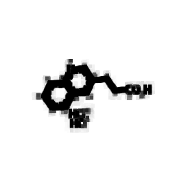 Cl.Cl.O=C(O)CCc1cnc2ccccc2c1